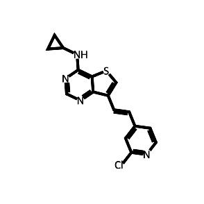 Clc1cc(C=Cc2csc3c(NC4CC4)ncnc23)ccn1